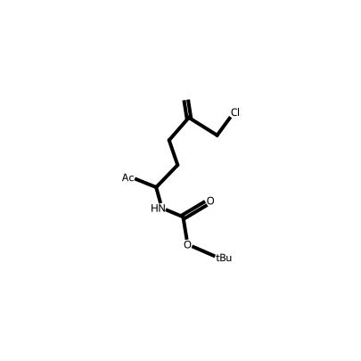 C=C(CCl)CCC(NC(=O)OC(C)(C)C)C(C)=O